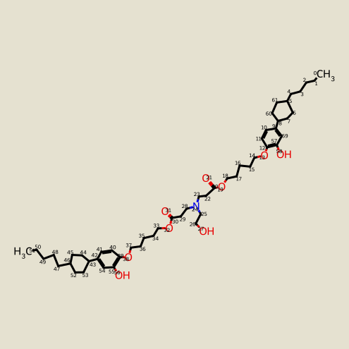 CCCCCC1CCC(c2ccc(OCCCCCOC(=O)CCN(CCO)CCC(=O)OCCCCCOc3ccc(C4CCC(CCCCC)CC4)cc3O)c(O)c2)CC1